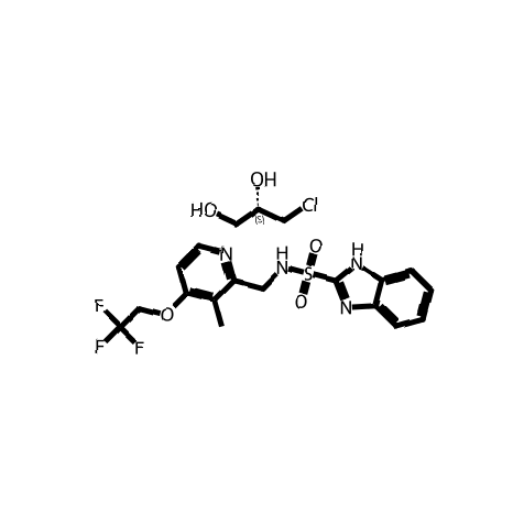 Cc1c(OCC(F)(F)F)ccnc1CNS(=O)(=O)c1nc2ccccc2[nH]1.OC[C@H](O)CCl